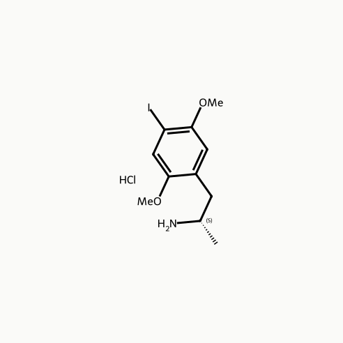 COc1cc(C[C@H](C)N)c(OC)cc1I.Cl